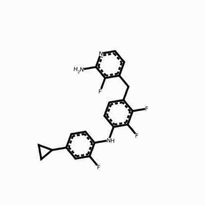 Nc1nccc(Cc2ccc(Nc3ccc(C4CC4)cc3F)c(F)c2F)c1F